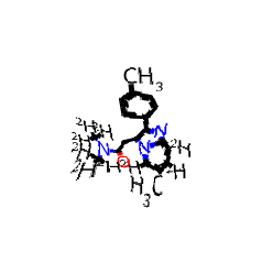 [2H]c1c(C)c([2H])n2c(CC(=O)N(C([2H])([2H])[2H])C([2H])([2H])[2H])c(-c3ccc(C)cc3)nc2c1[2H]